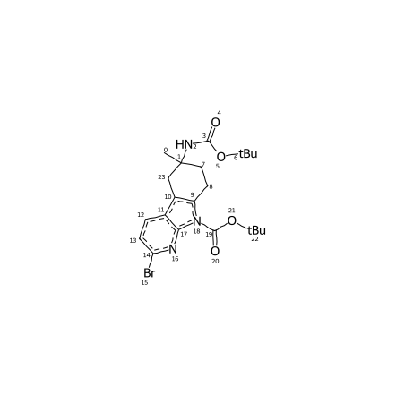 CC1(NC(=O)OC(C)(C)C)CCc2c(c3ccc(Br)nc3n2C(=O)OC(C)(C)C)C1